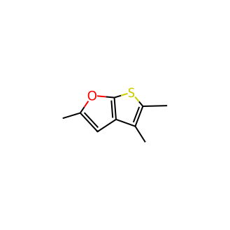 Cc1cc2c(C)c(C)sc2o1